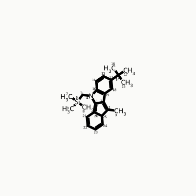 CC1=c2c(n(C[Si](C)(C)C)c3ccc(C(C)(C)C)cc23)=C2C=CC=CC12